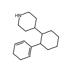 C1=CC(C2CCCCC2C2CCNCC2)=CCC1